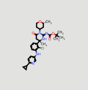 C[C@@H]1CC(N2C(=O)C[C@@](C)(c3cccc(Nc4ccc(C5CC5)nc4)c3Cl)N/C2=N\C(=O)OC(C)(C)C)CCO1